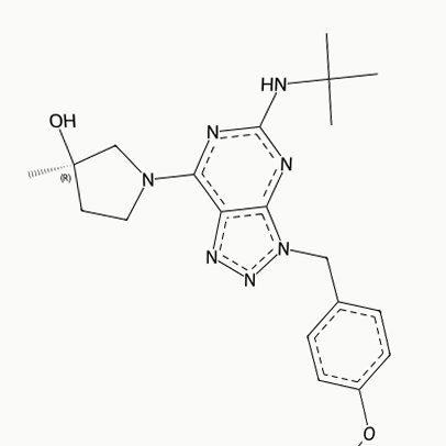 COc1ccc(Cn2nnc3c(N4CC[C@@](C)(O)C4)nc(NC(C)(C)C)nc32)cc1